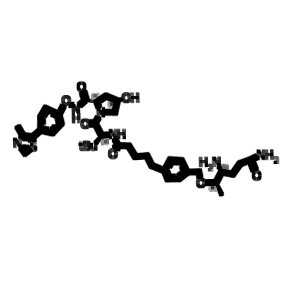 Cc1ncsc1-c1ccc(ONC(=O)[C@@H]2C[C@@H](O)CN2C(=O)[C@@H](NC(=O)CCCCc2ccc(CO[C@H](C)[C@@H](N)CCC(N)=O)cc2)C(C)(C)C)cc1